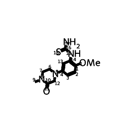 COc1ccc(N2CCN(C)C(=O)C2)cc1NC(N)=S